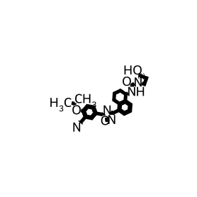 CC(C)Oc1ccc(-c2nc(-c3cccc4c3CCCC4NC(=O)N3CC[C@@H]3O)no2)cc1C#N